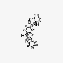 Cc1ccccc1NC(=O)c1ccc(Nc2nc3ccccc3n2C)cc1